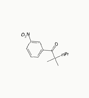 CCCC(C)(C)C(=O)c1cccc([N+](=O)[O-])c1